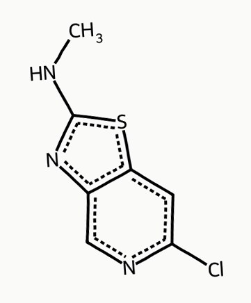 CNc1nc2cnc(Cl)cc2s1